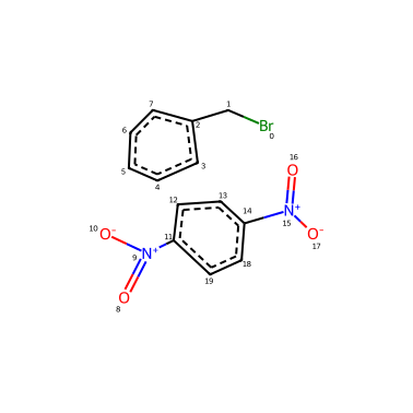 BrCc1ccccc1.O=[N+]([O-])c1ccc([N+](=O)[O-])cc1